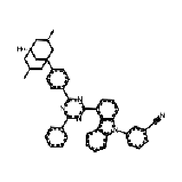 C[C@@H]1C[C@@H]2C[C@H](C)CC(c3ccc(-c4nc(-c5ccccc5)nc(-c5cccc6c5c5ccccc5n6-c5cccc(C#N)c5)n4)cc3)(C1)C2